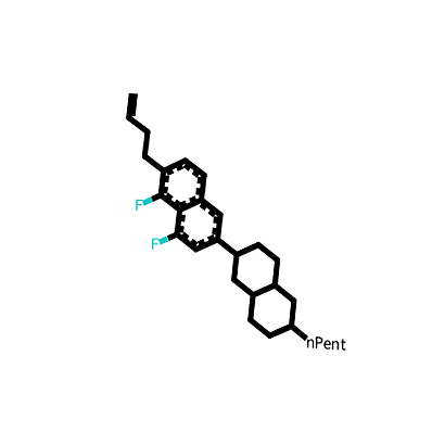 C=CCCc1ccc2cc(C3CCC4CC(CCCCC)CCC4C3)cc(F)c2c1F